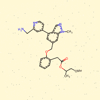 COCC(C)OC(=O)Cc1ccccc1OCc1cc(-c2ccnc(CN)c2)c2cnn(C)c2c1